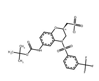 CC(C)(C)OC(=O)Nc1ccc2c(c1)N(S(=O)(=O)c1cccc(C(F)(F)F)c1)C[C@H](CS(=O)(=O)Cl)O2